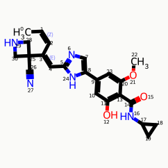 C/C=C\C(=C/c1ncc(-c2cc(O)c(C(=O)NC3CC3)c(OC)c2)[nH]1)C1(C#N)CNC1